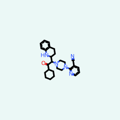 N#Cc1cccnc1N1CCN(C(C(=O)C2CCCCC2)C2CCc3ccccc3N2)CC1